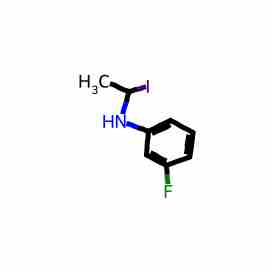 CC(I)Nc1cccc(F)c1